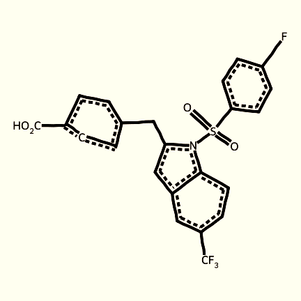 O=C(O)c1ccc(Cc2cc3cc(C(F)(F)F)ccc3n2S(=O)(=O)c2ccc(F)cc2)cc1